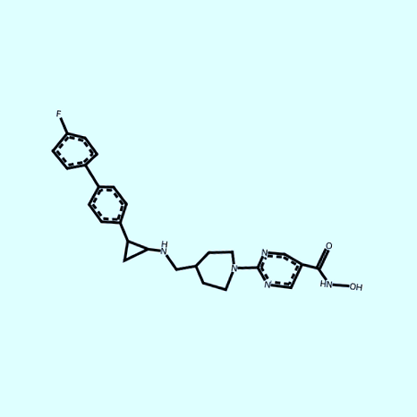 O=C(NO)c1cnc(N2CCC(CNC3CC3c3ccc(-c4ccc(F)cc4)cc3)CC2)nc1